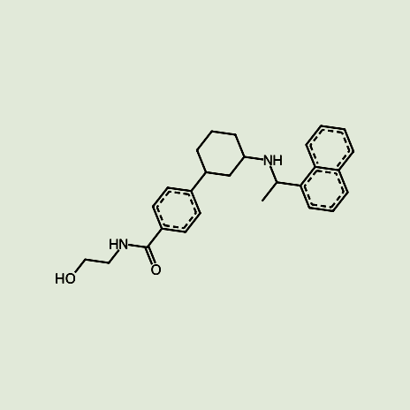 CC(NC1CCCC(c2ccc(C(=O)NCCO)cc2)C1)c1cccc2ccccc12